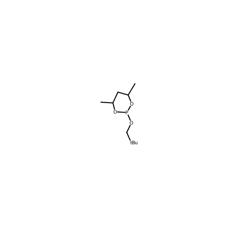 CC1CC(C)OP(OCC(C)(C)C)O1